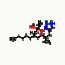 CCCCCCC[C@@H](OC(C)(C)O)[C@H](C)Cc1c[nH]nn1